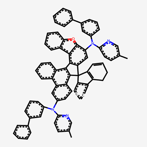 Cc1ccc(N(c2cccc(-c3ccccc3)c2)c2ccc3c4c(c5ccccc5c3c2)-c2c(cc(N(c3cccc(-c5ccccc5)c3)c3ccc(C)cn3)c3oc5ccccc5c23)C42C3=C(CCC=C3)c3ccccc32)nc1